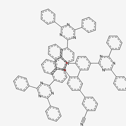 N#Cc1cccc(-c2ccc(-n3c4ccccc4c4cc(-c5nc(-c6ccccc6)nc(-c6ccccc6)n5)ccc43)c(-c3cc(-c4nc(-c5ccccc5)nc(-c5ccccc5)n4)ccc3-n3c4ccccc4c4cc(-c5nc(-c6ccccc6)nc(-c6ccccc6)n5)ccc43)c2)c1